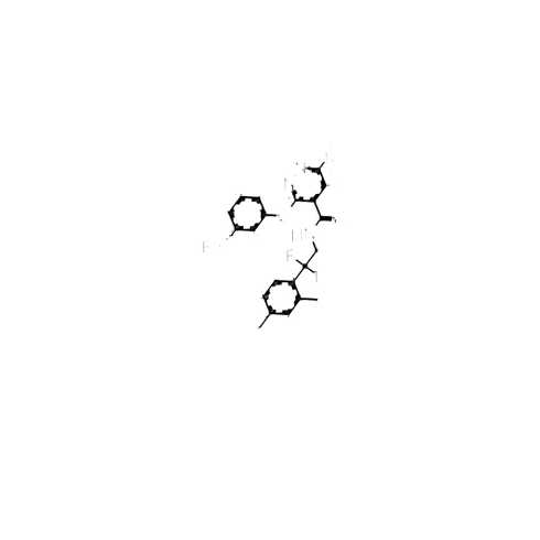 Cc1ccc(C(F)(F)CNC(=O)c2cc(Cl)nnc2Oc2cccc(C(F)(F)F)c2)c(C)c1